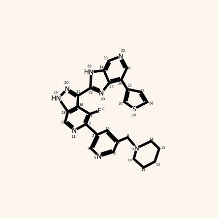 Fc1c(-c2cncc(CN3CCCCC3)c2)ncc2[nH]nc(-c3nc4c(-c5ccsc5)cncc4[nH]3)c12